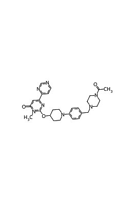 CC(=O)N1CCN(Cc2ccc(N3CCC(Oc4nc(-c5ccncn5)cc(=O)n4C)CC3)cc2)CC1